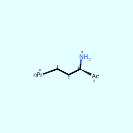 CCCCC[C@@H](N)C(C)=O